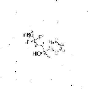 CCCCC(F)(F)CCC(C)(O)c1ccccc1